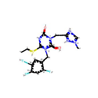 CCSc1nc(=O)n(Cc2ncn(C)n2)c(=O)n1Cc1cc(F)c(F)cc1F